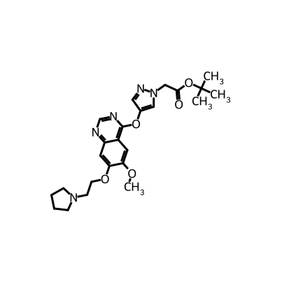 COc1cc2c(Oc3cnn(CC(=O)OC(C)(C)C)c3)ncnc2cc1OCCN1CCCC1